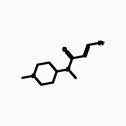 CC(C)/C=C/C(=O)N(C)C1CCN(C)CC1